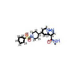 CNC(=O)c1cnn2ccc(C3CCN(S(=O)(=O)c4ccccc4)CC3)cc12